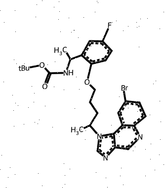 CC(NC(=O)OC(C)(C)C)c1cc(F)ccc1OCCCC(C)n1cnc2cnc3ccc(Br)cc3c21